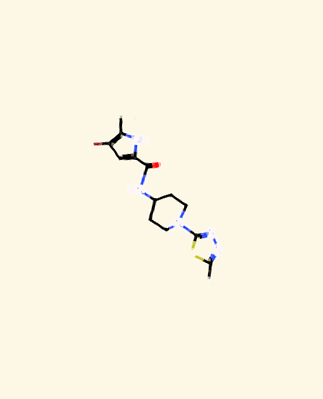 CCOC(=O)c1nnc(N2CCC(NC(=O)c3cc(Br)c(C)[nH]3)CC2)s1